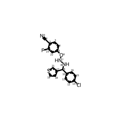 N#Cc1ccc(ONNC(c2ccc(Cl)cc2)c2ccsc2)cc1F